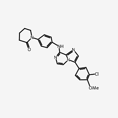 COc1ccc(-c2cnc3c(Nc4ccc(N5CCCCC5=O)cc4)nccn23)cc1Cl